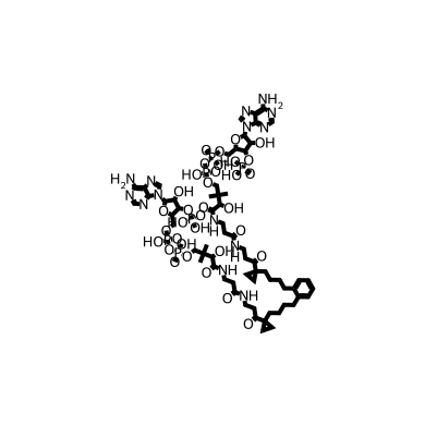 CC(C)(COP(=O)(O)OP(=O)(O)OCC1OC(n2cnc3c(N)ncnc32)C(O)C1OP(=O)(O)O)C(O)C(=O)NCCC(=O)NCCC(=O)C1(CCCCc2ccccc2CCCCC2(C(=O)CCNC(=O)CCNC(=O)C(O)C(C)(C)COP(=O)(O)OP(=O)(O)OCC3OC(n4cnc5c(N)ncnc54)C(O)C3OP(=O)(O)O)CC2)CC1